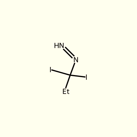 CCC(I)(I)N=N